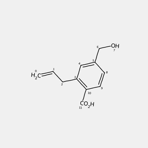 C=CCc1cc(CO)ccc1C(=O)O